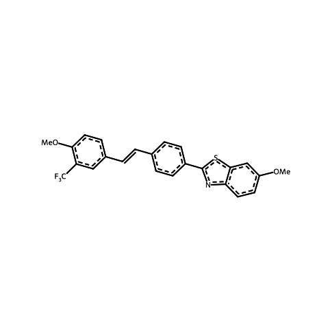 COc1ccc2nc(-c3ccc(/C=C/c4ccc(OC)c(C(F)(F)F)c4)cc3)sc2c1